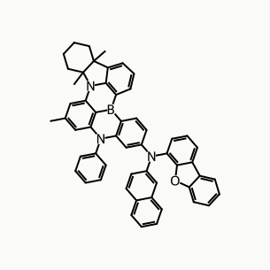 Cc1cc2c3c(c1)N1c4c(cccc4C4(C)CCCCC14C)B3c1ccc(N(c3ccc4ccccc4c3)c3cccc4c3oc3ccccc34)cc1N2c1ccccc1